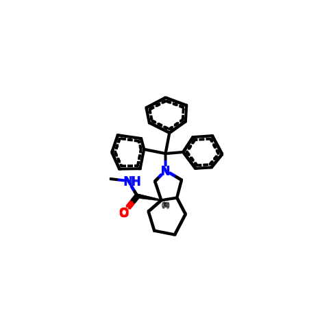 CNC(=O)[C@]12CCCCC1CN(C(c1ccccc1)(c1ccccc1)c1ccccc1)C2